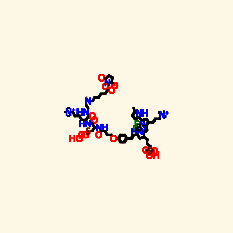 Cc1ccc(-c2cc(CCC[N+](C)(C)C)c3n2[B-](F)(F)[NH+]2C(=C3)C(CCCS(=O)(=O)O)CC2/C=C/c2ccc(OCCCC(=O)NC(CSOOO)C(=O)NC(CCCC[N+](C)(C)C)C(=O)NCCN(C)CCCCCC(=O)ON3C(=O)CCC3=O)cc2)[nH]1